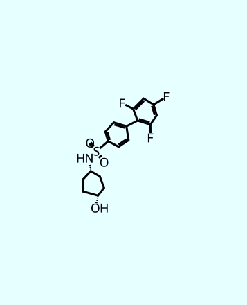 O=S(=O)(N[C@H]1CC[C@@H](O)CC1)c1ccc(-c2c(F)cc(F)cc2F)cc1